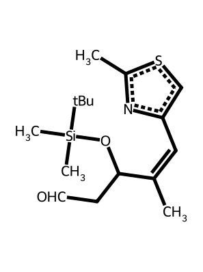 CC(=Cc1csc(C)n1)C(CC=O)O[Si](C)(C)C(C)(C)C